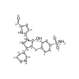 NS(=O)(=O)c1ccc(Cc2c(-c3cccnc3)nn(-c3nc(C=O)cs3)c2O)cc1